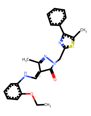 CCOc1ccccc1N/C=C1/C(=O)N(Cc2nc(-c3ccccc3)c(C)s2)N=C1C